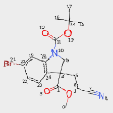 COC(=O)C1(CCC#N)CN(C(=O)OC(C)(C)C)c2cc(Br)ccc21